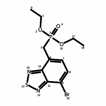 CCOP(=O)(Cc1ccc(Br)c2nsnc12)OCC